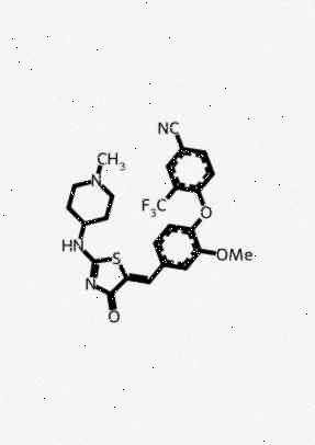 COc1cc(/C=C2\SC(NC3CCN(C)CC3)=NC2=O)ccc1Oc1ccc(C#N)cc1C(F)(F)F